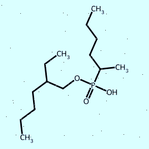 CCCCC(CC)COP(=O)(O)C(C)CCCC